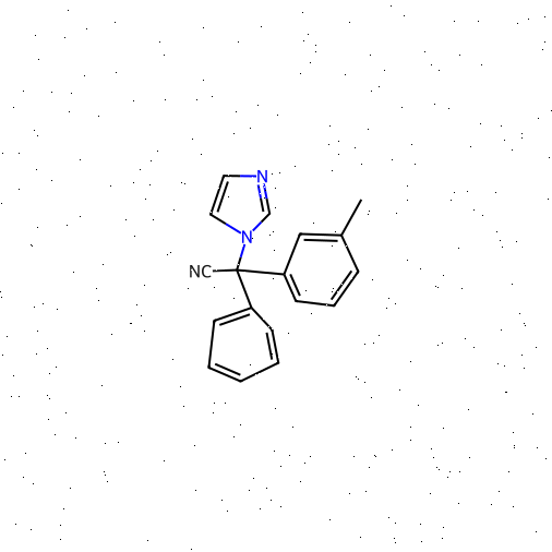 Cc1cccc(C(C#N)(c2ccccc2)n2ccnc2)c1